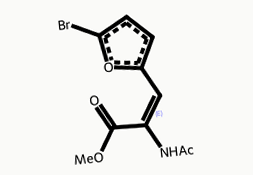 COC(=O)/C(=C\c1ccc(Br)o1)NC(C)=O